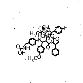 COc1ccc(C(Nc2ccc(CNC(=O)O)cc2)C(CCC(O[Si](C)(C)C(C)(C)C)c2ccc(F)cc2)C(=O)N2C(=O)OCC2c2ccccc2)cc1